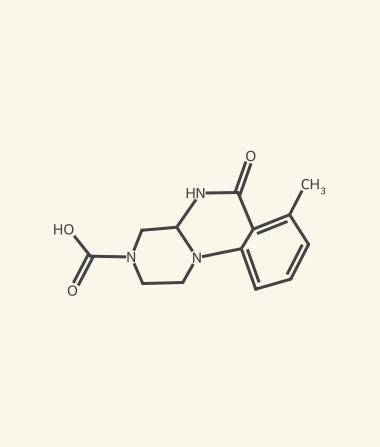 Cc1cccc2c1C(=O)NC1CN(C(=O)O)CCN21